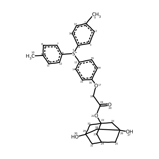 Cc1ccc([S+](c2ccc(C)cc2)c2ccc(OCC(=O)OC34CC5CC(O)(CC(O)(C5)C3)C4)cc2)cc1